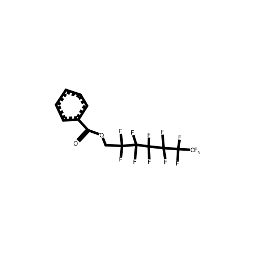 O=C(OCC(F)(F)C(F)(F)C(F)(F)C(F)(F)C(F)(F)C(F)(F)F)c1ccccc1